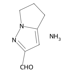 N.O=Cc1cc2n(n1)CCC2